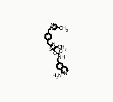 Cc1cnn(Cc2ccc(Cc3nc(C)c(OC(=O)NCc4ccc5c(N)nccc5c4)s3)cc2)c1